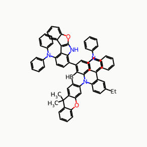 CCc1ccc(N2c3cc4c(cc3Bc3c(-c5ccc(N(c6ccccc6)c6ccccc6)c6c5[nH]c5oc7ccccc7c56)cc(N(c5ccccc5)c5ccccc5)cc32)C(C)(C)c2ccccc2O4)c(-c2ccccc2)c1